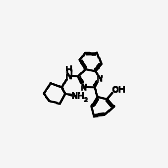 N[C@H]1CCCCC1Nc1nc(-c2ccccc2O)nc2ccccc12